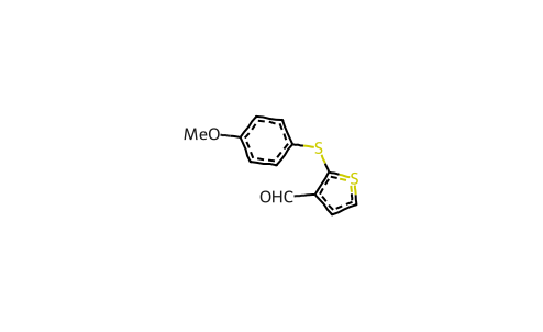 COc1ccc(Sc2sccc2C=O)cc1